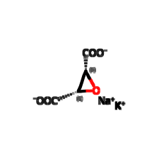 O=C([O-])[C@H]1O[C@H]1C(=O)[O-].[K+].[Na+]